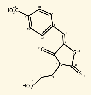 O=C(O)CCN1C(=O)/C(=C\c2ccc(C(=O)O)cc2)SC1=S